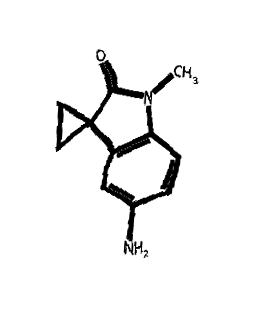 CN1C(=O)C2(CC2)c2cc(N)ccc21